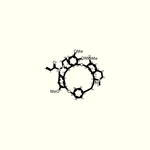 C=CC(=O)N1c2cc(OC)c3cc2C[C@H]2c4c(cc(OC)c(OC)c4Oc4cc5c(cc4OC)CCN(C)[C@H]5CCc4ccc(cc4)O3)CCN21